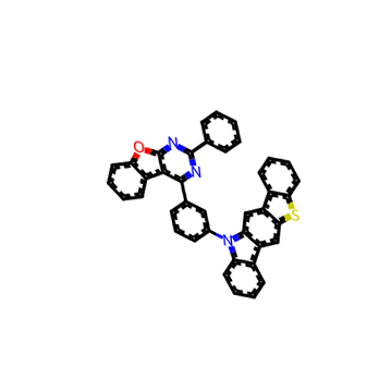 c1ccc(-c2nc(-c3cccc(-n4c5ccccc5c5cc6sc7ccccc7c6cc54)c3)c3c(n2)oc2ccccc23)cc1